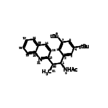 CC(=O)N[C@H](c1cc(C(C)(C)C)cc(C(C)(C)C)c1)[C@@H](C)c1ccc2ccccc2n1